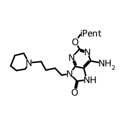 CCCC(C)Oc1nc(N)c2[nH]c(=O)n(CCCCN3CCCCC3)c2n1